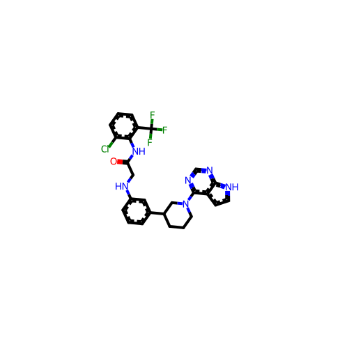 O=C(CNc1cccc(C2CCCN(c3ncnc4[nH]ccc34)C2)c1)Nc1c(Cl)cccc1C(F)(F)F